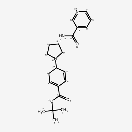 CC(C)(C)OC(=O)C1=CCC(N2CC[C@H](NC(=O)c3cccnc3)C2)C=C1